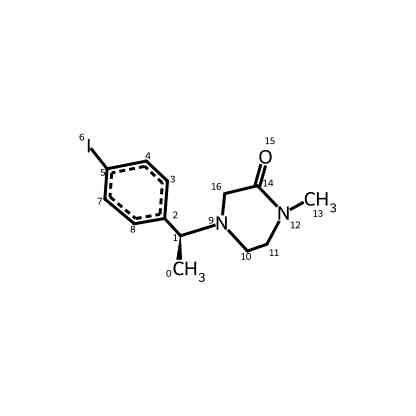 C[C@@H](c1ccc(I)cc1)N1CCN(C)C(=O)C1